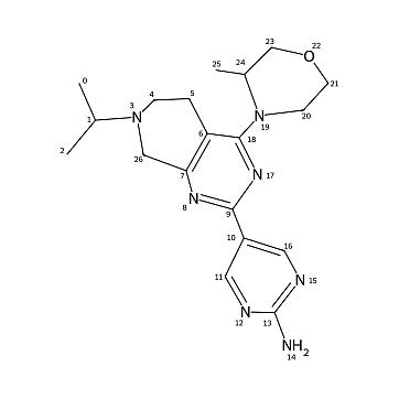 CC(C)N1CCc2c(nc(-c3cnc(N)nc3)nc2N2CCOCC2C)C1